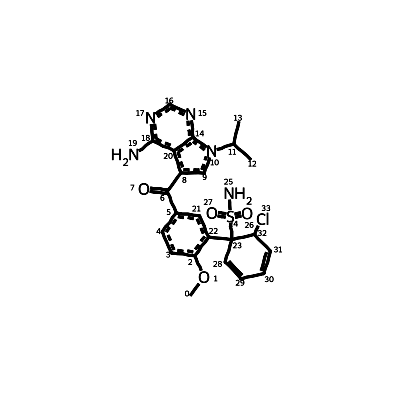 COc1ccc(C(=O)c2cn(C(C)C)c3ncnc(N)c23)cc1C1(S(N)(=O)=O)C=CC=CC1Cl